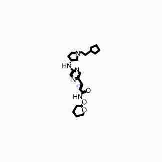 O=C(/C=C/c1cnc(N[C@@H]2CCN(CCC3CCCC3)C2)cn1)NOC1CCCCO1